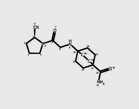 N#C[C@@H]1CCCN1C(=O)CNC12CCC(C(N)=O)(CC1)CC2